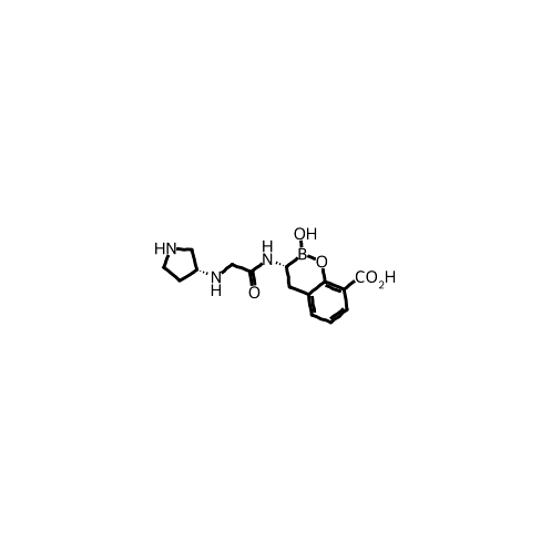 O=C(CN[C@@H]1CCNC1)N[C@H]1Cc2cccc(C(=O)O)c2OB1O